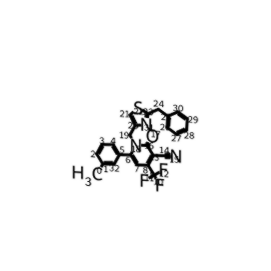 Cc1cccc(-c2cc(C(F)(F)F)c(C#N)c(=O)n2Cc2csc(Cc3ccccc3)n2)c1